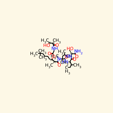 CC[C@H](C)[C@H](NC(=O)[C@@](C)(CC(C)C)N(C)C(=O)[C@H](C)[C@@H](CCCCC(C)(C)C)OC(=O)CNC(=O)[C@@H](C)[C@H](C)O)C(=O)N[C@@H](CO)C(N)=O